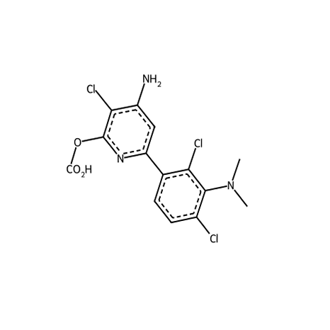 CN(C)c1c(Cl)ccc(-c2cc(N)c(Cl)c(OC(=O)O)n2)c1Cl